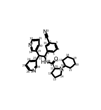 N#Cc1cccc(C(NC(=O)[C@@H]2CCCN2C2CCCCC2)C(c2cccnc2)c2cccnc2)c1